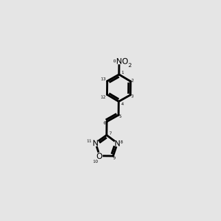 O=[N+]([O-])c1ccc(/C=C/c2ncon2)cc1